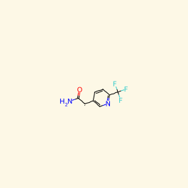 NC(=O)[CH]c1ccc(C(F)(F)F)nc1